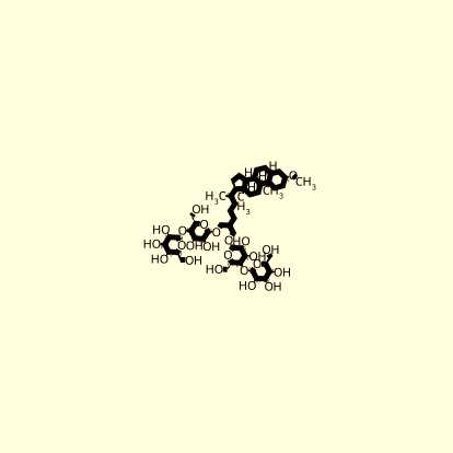 CO[C@@H]1CC[C@@]2(C)[C@H](CC[C@@H]3[C@@H]2CC[C@]2(C)[C@@H]([C@H](C)CCCC(CO[C@H]4O[C@@H](CO)[C@H](O[C@@H]5O[C@@H](CO)[C@H](O)[C@@H](O)[C@@H]5O)[C@@H](O)[C@@H]4O)CO[C@H]4O[C@@H](CO)[C@H](O[C@@H]5O[C@@H](CO)[C@H](O)[C@@H](O)[C@@H]5O)[C@@H](O)[C@@H]4O)CC[C@@H]32)C1